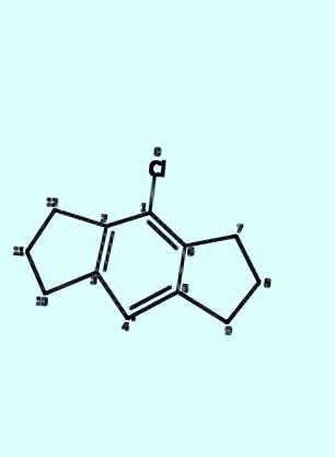 Clc1c2c([c]c3c1CCC3)CCC2